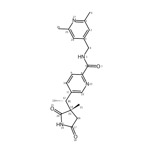 Cc1cc(CNC(=O)c2ccc([C@@H](C)[C@]3(C)CC(=O)NC3=O)cn2)cc(C)n1